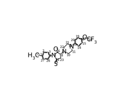 Cc1ccc(N2C(=O)C(N3CCN(c4ccc(OC(F)(F)F)cc4)CC3)CC2=S)cc1